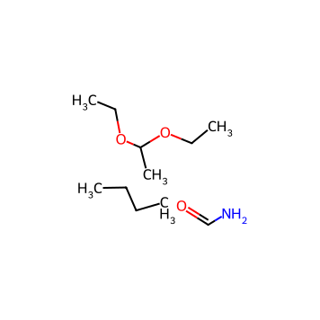 CCCC.CCOC(C)OCC.NC=O